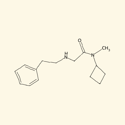 CN(C(=O)CNCCc1ccccc1)C1CCC1